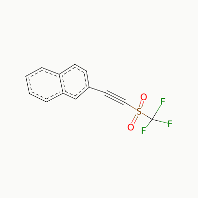 O=S(=O)(C#Cc1ccc2ccccc2c1)C(F)(F)F